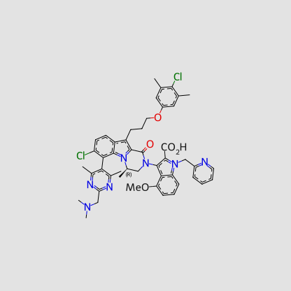 COc1cccc2c1c(N1C[C@@H](C)n3c(c(CCCOc4cc(C)c(Cl)c(C)c4)c4ccc(Cl)c(-c5c(C)nc(CN(C)C)nc5C)c43)C1=O)c(C(=O)O)n2Cc1ccccn1